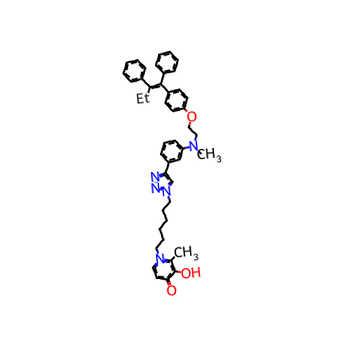 CCC(=C(c1ccccc1)c1ccc(OCCN(C)c2cccc(-c3cn(CCCCCCn4ccc(=O)c(O)c4C)nn3)c2)cc1)c1ccccc1